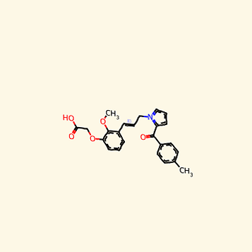 COc1c(/C=C/Cn2cccc2C(=O)c2ccc(C)cc2)cccc1OCC(=O)O